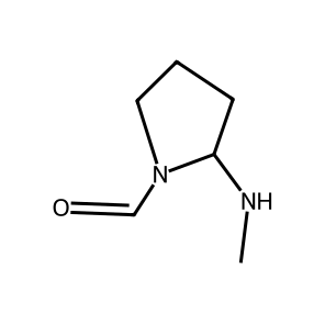 CNC1CCCN1C=O